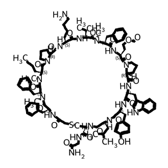 CCCC[C@H]1C(=O)N2CCC[C@@H]2C(=O)N[C@@H](CCCCN)C(=O)N[C@@H](C(C)C)C(=O)N(C)[C@@H](Cc2ccccc2)C(=O)N[C@@H](CCOC=O)C(=O)N2CCC[C@@H]2C(=O)N[C@@H](Cc2c[nH]c3ccccc23)C(=O)N[C@@H](Cc2ccc(O)cc2)C(=O)N[C@@H](CC(C)C)C(=O)N[C@H](C(=O)NCC(N)=O)CSCC(=O)N[C@@H](Cc2ccccc2)C(=O)N(C)[C@@H](Cc2ccccc2)C(=O)N1C